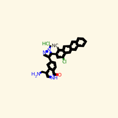 Cl.Cn1ncc(-c2ccc3c(=O)[nH]cc(CN)c3c2)c1-c1cc(Cl)c2cc3cc4ccccc4cc3cc2c1C#N